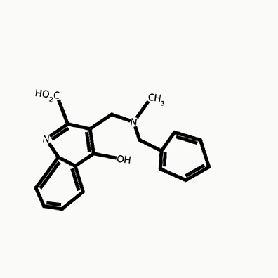 CN(Cc1ccccc1)Cc1c(C(=O)O)nc2ccccc2c1O